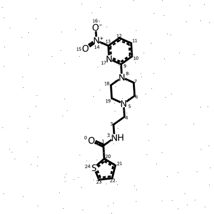 O=C(NCCN1CCN(c2cccc([N+](=O)[O-])n2)CC1)c1cccs1